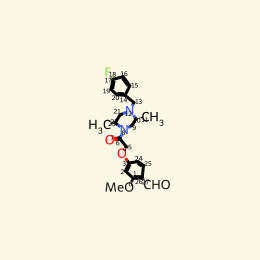 COc1cc(OCC(=O)N2C[C@@H](C)N(Cc3ccc(F)cc3)C[C@@H]2C)ccc1C=O